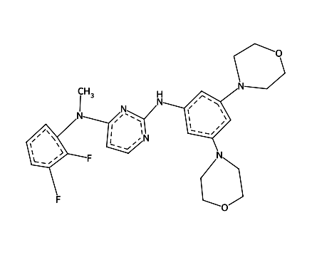 CN(c1ccnc(Nc2cc(N3CCOCC3)cc(N3CCOCC3)c2)n1)c1cccc(F)c1F